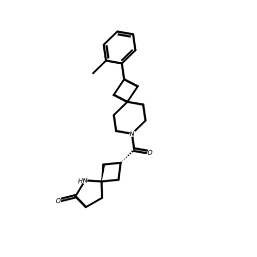 Cc1ccccc1C1CC2(CCN(C(=O)[C@H]3C[C@]4(CCC(=O)N4)C3)CC2)C1